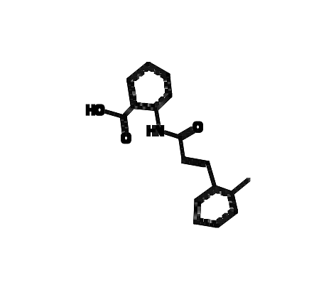 Cc1ccccc1C=CC(=O)Nc1ccccc1C(=O)O